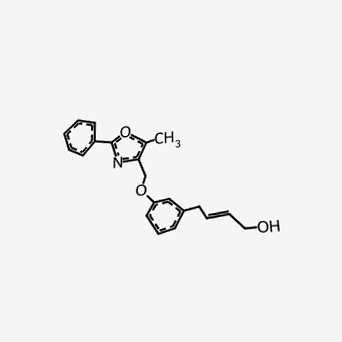 Cc1oc(-c2ccccc2)nc1COc1cccc(CC=CCO)c1